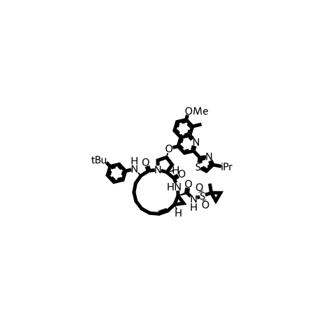 COc1ccc2c(O[C@@H]3C[C@H]4C(=O)N[C@]5(C(=O)NS(=O)(=O)C6(C)CC6)C[C@H]5/C=C\CCCCC[C@H](Nc5cccc(C(C)(C)C)c5)C(=O)N4C3)cc(-c3nc(C(C)C)cs3)nc2c1C